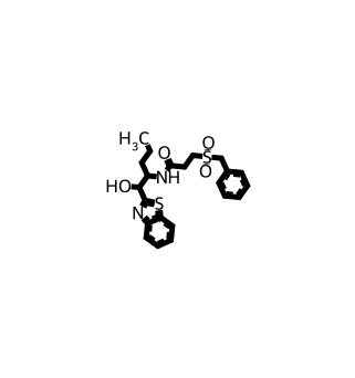 CCCC(NC(=O)CCS(=O)(=O)Cc1ccccc1)C(O)c1nc2ccccc2s1